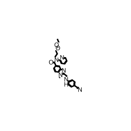 CCOOCCCN(C(=O)c1ccc2c(c1)nc(CNc1ccc(C#N)cc1)n2C)c1ccccn1